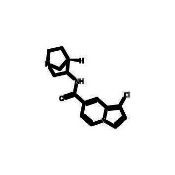 O=C(NC1CN2CC[C@H]1C2)c1ccn2ccc(Cl)c2c1